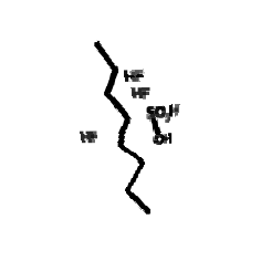 CCCCCCCC.F.F.F.O=S(=O)(O)O